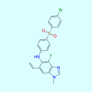 C=Cc1cc2c(ncn2C)c(F)c1Nc1ccc(S(=O)(=O)c2ccc(Br)cc2)cc1